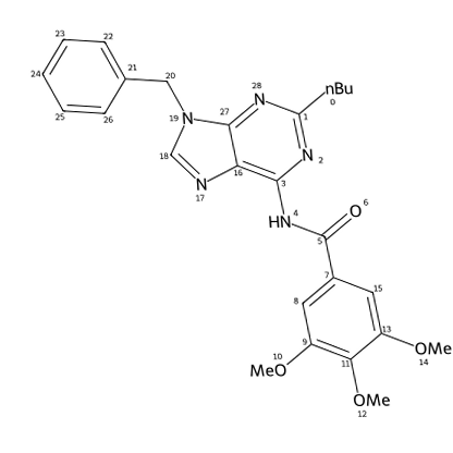 CCCCc1nc(NC(=O)c2cc(OC)c(OC)c(OC)c2)c2ncn(Cc3ccccc3)c2n1